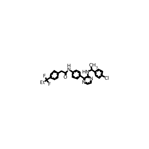 CCC(F)(F)c1ccc(CC(=O)Nc2ccc(-c3nccnc3NC(C)c3ccc(Cl)cc3)cc2)cc1